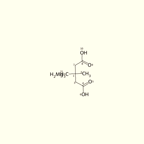 CC(C)(CC(=O)O)CC(=O)O.[MgH2]